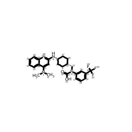 CN(C)c1cc(N[C@H]2CC[C@@H](CN(C(=O)O)c3cccc(C(F)(F)F)c3)CC2)nc2ccccc12